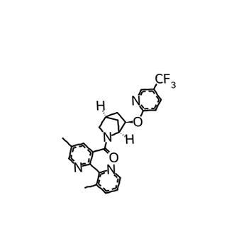 Cc1cnc(-c2ncccc2C)c(C(=O)N2C[C@H]3C[C@@H](Oc4ccc(C(F)(F)F)cn4)[C@@H]2C3)c1